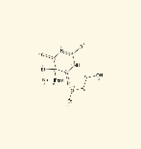 CCCC(C)C1(CC)C(=O)N=C([O-])NC1=O.CCOCCO.[Na+]